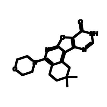 CC1(C)CCc2c(N3CCOCC3)nc3oc4c(=O)[nH]cnc4c3c2C1